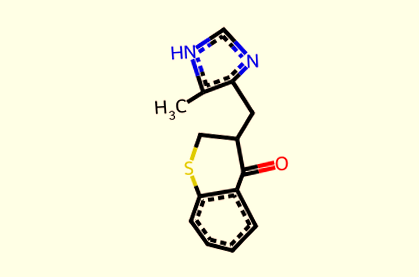 Cc1[nH]cnc1CC1CSc2ccccc2C1=O